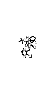 CC(C)(C)OC(=O)N1[C@@H]2CC[C@@H](C2)[C@@H]1C(=O)NCc1nccnc1Cl